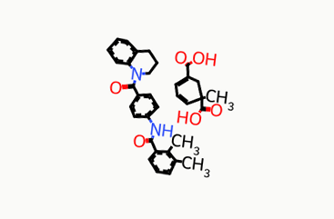 CC1(C(=O)O)C=CC=C(C(=O)O)C1.Cc1cccc(C(=O)Nc2ccc(C(=O)N3CCCc4ccccc43)cc2)c1C